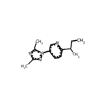 CCC(C)c1ccc(-n2nc(C)nc2C)cn1